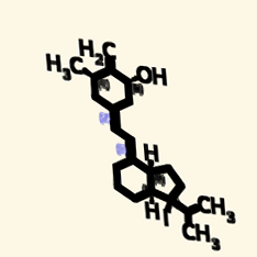 C=C1[C@H](C)C/C(=C/C=C2\CCC[C@H]3[C@H]2CC[C@]3(I)C(C)C)C[C@H]1O